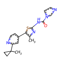 Cc1nc(NC(=O)n2ccnc2)sc1-c1ccnc(C2(C)CC2)c1